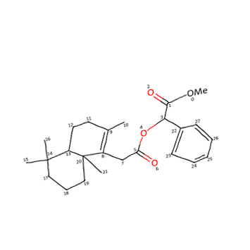 COC(=O)C(OC(=O)CC1=C(C)CCC2C(C)(C)CCCC12C)c1ccccc1